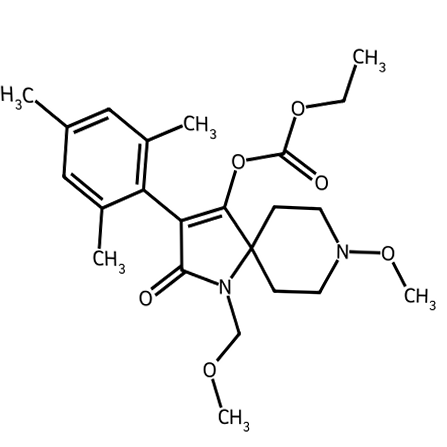 CCOC(=O)OC1=C(c2c(C)cc(C)cc2C)C(=O)N(COC)C12CCN(OC)CC2